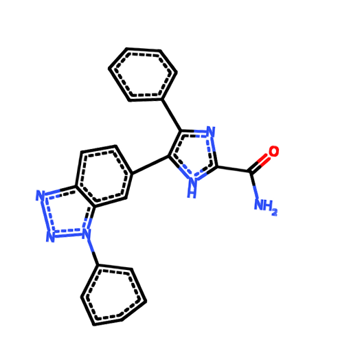 NC(=O)c1nc(-c2ccccc2)c(-c2ccc3nnn(-c4ccccc4)c3c2)[nH]1